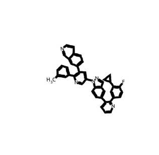 Cc1cccc(-c2ncc(-n3ncc4cc(-c5cccnc5-c5ccc(F)c(C6CC6)c5)ccc43)cc2-c2ccc3ccncc3c2)c1